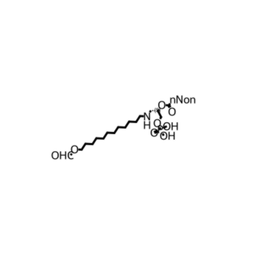 CCCCCCCCCC(=O)O[C@@H](CNCCCCCCCCCCCCOC=O)COP(=O)(O)O